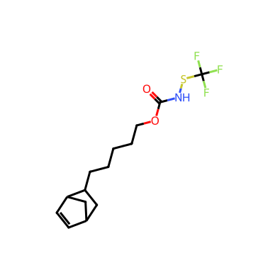 O=C(NSC(F)(F)F)OCCCCCC1CC2C=CC1C2